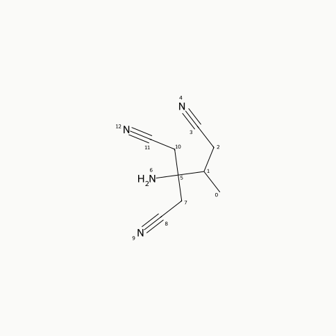 CC(CC#N)C(N)(CC#N)CC#N